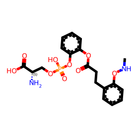 CNOc1ccccc1CCC(=O)Oc1ccccc1OP(=O)(O)OC[C@H](N)C(=O)O